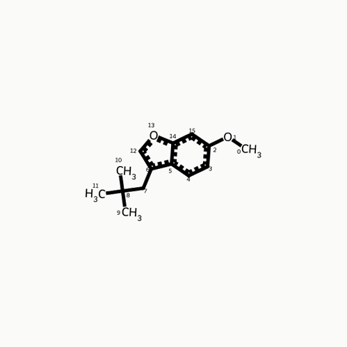 COc1ccc2c(CC(C)(C)C)coc2c1